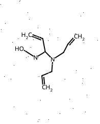 C=CCN(CC=C)C(C=C)[N]O